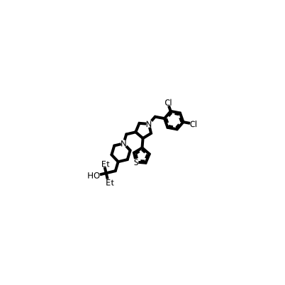 CCC(O)(CC)CC1CCN(CC2CN(Cc3ccc(Cl)cc3Cl)CC2c2ccsc2)CC1